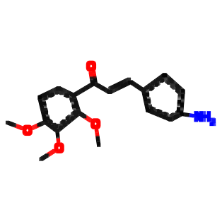 COc1ccc(C(=O)C=Cc2ccc(N)cc2)c(OC)c1OC